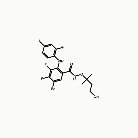 CC(C)(CCO)ONC(=O)c1cc(Br)c(F)c(F)c1Nc1ccc(I)cc1F